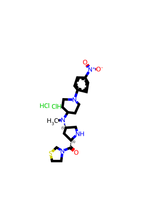 CN(C1CCN(c2ccc([N+](=O)[O-])cc2)CC1)[C@@H]1CN[C@H](C(=O)N2CCSC2)C1.Cl.Cl